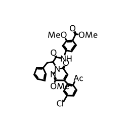 COC(=O)c1ccc(NC(=O)C(Cc2ccccc2)n2nc(OC)c(-c3cc(Cl)ccc3C(C)=O)cc2=O)cc1OC